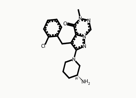 Cn1ncn2nc(N3CCC[C@@H](N)C3)c(Cc3ccccc3Cl)c2c1=O